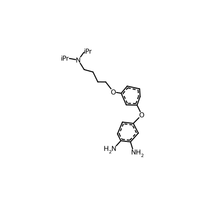 CC(C)N(CCCCOc1cccc(Oc2ccc(N)c(N)c2)c1)C(C)C